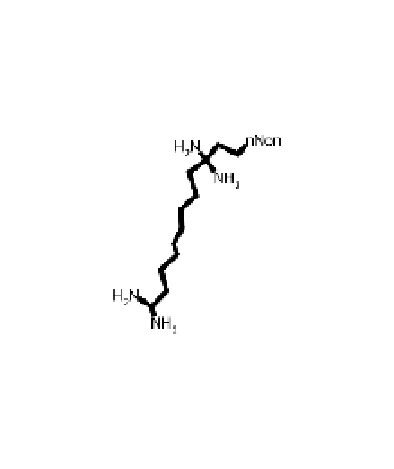 CCCCCCCCCCCC(N)(N)CCCCCCCCC(N)N